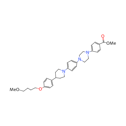 COCCCCOc1ccc(C2CCN(c3ccc(N4CCN(c5ccc(C(=O)OC)cc5)CC4)cc3)CC2)cc1